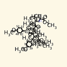 CCOC(=O)/C(C)=C/[C@H](C(C)C)N(C)C(=O)[C@@H](NC(=O)[C@@H](N(C)C(=O)OC(C)(C)C)C(C)(C)c1ccc(OC)cc1)C(C)(C)SCc1ccc(OC)cc1